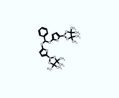 CC1(C)OB(c2ccc(OC(Oc3ccc(B4OC(C)(C)C(C)(C)O4)o3)c3ccccc3)o2)OC1(C)C